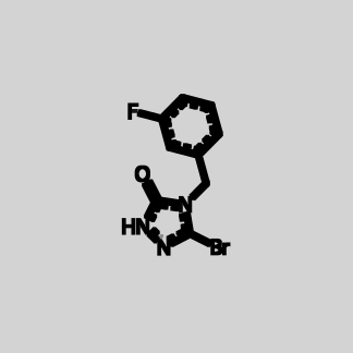 O=c1[nH]nc(Br)n1Cc1cccc(F)c1